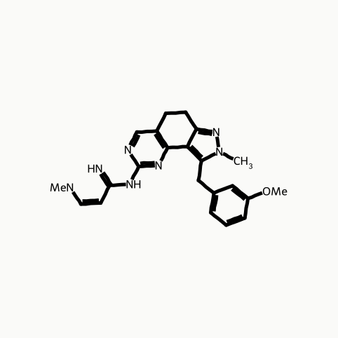 CN/C=C\C(=N)Nc1ncc2c(n1)-c1c(nn(C)c1Cc1cccc(OC)c1)CC2